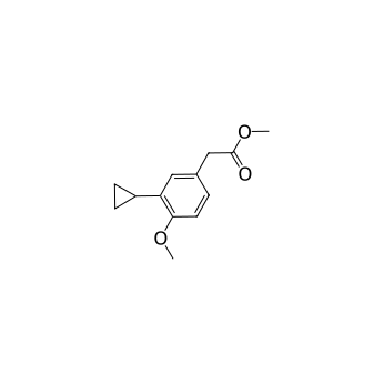 COC(=O)Cc1ccc(OC)c(C2CC2)c1